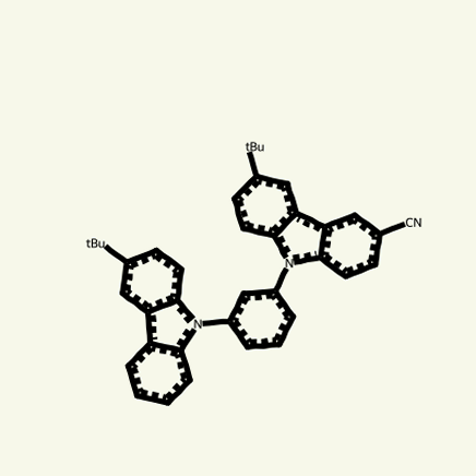 CC(C)(C)c1ccc2c(c1)c1ccccc1n2-c1cccc(-n2c3ccc(C#N)cc3c3cc(C(C)(C)C)ccc32)c1